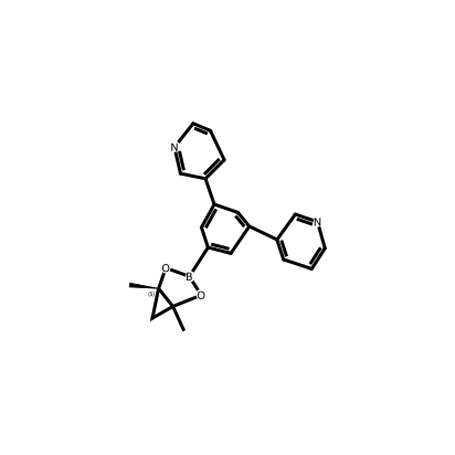 CC12C[C@]1(C)OB(c1cc(-c3cccnc3)cc(-c3cccnc3)c1)O2